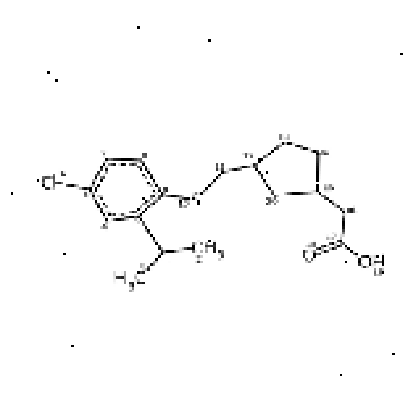 CC(C)c1cc(Cl)ccc1SCC1CCC(CC(=O)O)C1